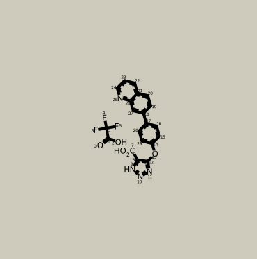 O=C(O)C(F)(F)F.O=C(O)c1[nH]nnc1Oc1ccc(-c2ccc3cccnc3c2)cc1